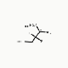 Cl.N[C@H](C(=O)O)C(F)(F)CC(=O)O